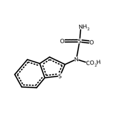 NS(=O)(=O)N(C(=O)O)c1cc2ccccc2s1